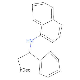 CCCCCCCCCCCC(Nc1cccc2ccccc12)c1ccccc1